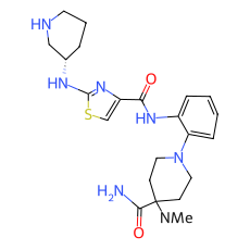 CNC1(C(N)=O)CCN(c2ccccc2NC(=O)c2csc(N[C@H]3CCCNC3)n2)CC1